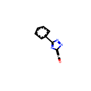 O=C=C1N=NC(c2ccccc2)=N1